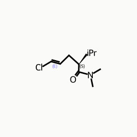 CC(C)[C@H](C/C=C/Cl)C(=O)N(C)C